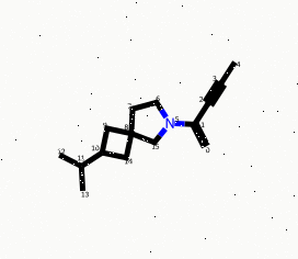 C=C(C#CC)N1CCC2(CC(C(C)C)C2)C1